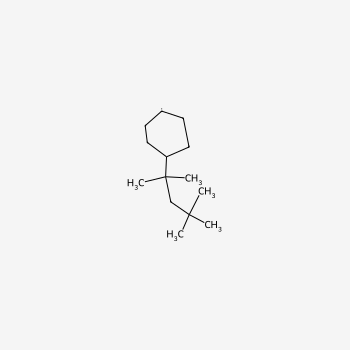 CC(C)(C)CC(C)(C)C1CC[CH]CC1